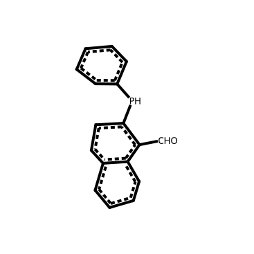 O=Cc1c(Pc2ccccc2)ccc2ccccc12